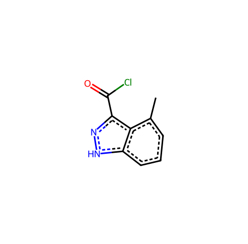 Cc1cccc2[nH]nc(C(=O)Cl)c12